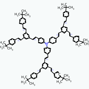 CC(C)(C)c1ccc(/C=C/c2cc(/C=C/c3ccc(N(c4ccc(/C=C/c5cc(/C=C/c6ccc(C(C)(C)C)cc6)cc(/C=C/c6ccc(C(C)(C)C)cc6)c5)cc4)c4ccc(/C=C/c5cc(/C=C/c6ccc(C(C)(C)C)cc6)cc(/C=C/c6ccc(C(C)(C)C)cc6)c5)cc4)cc3)cc(/C=C/c3ccc(C(C)(C)C)cc3)c2)cc1